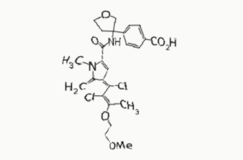 C=c1/c(=C(Cl)\C(Cl)=C(/C)OCCOC)cc(C(=O)NC2(c3ccc(C(=O)O)cc3)CCOC2)n1C